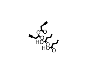 C#CCC(=O)OC(=O)CC#C.CCCC(=O)O.CCCC(=O)O